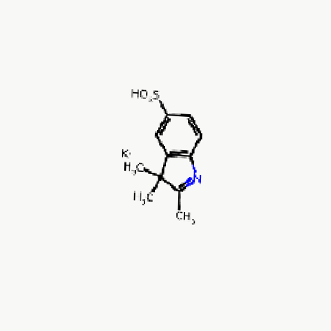 CC1=Nc2ccc(S(=O)(=O)O)cc2C1(C)C.[K]